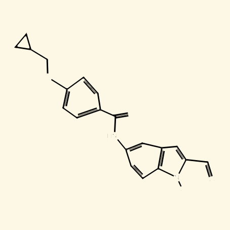 Cn1c(C=O)cc2cc(NC(=O)c3ccc(OCC4CC4)cc3)ccc21